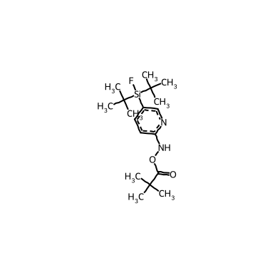 CC(C)(C)C(=O)ONc1ccc([Si](F)(C(C)(C)C)C(C)(C)C)cn1